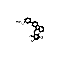 O=COc1cccc(-c2ccc3c(c2)C(=Nc2c(Cl)c(Cl)cc(Cl)c2Cl)c2ccccc2-3)c1